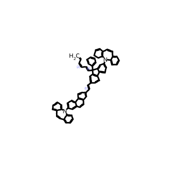 C=C/C=C\C=C\C1(c2ccccc2)c2cc(/C=C/c3ccc4c(ccc5cc(N6c7ccccc7C=Cc7ccccc76)ccc54)c3)ccc2-c2ccc(N3C4=C(C=CCC4)C=Cc4ccccc43)cc21